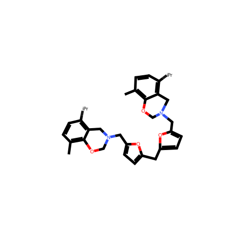 Cc1ccc(C(C)C)c2c1OCN(Cc1ccc(Cc3ccc(CN4COc5c(C)ccc(C(C)C)c5C4)o3)o1)C2